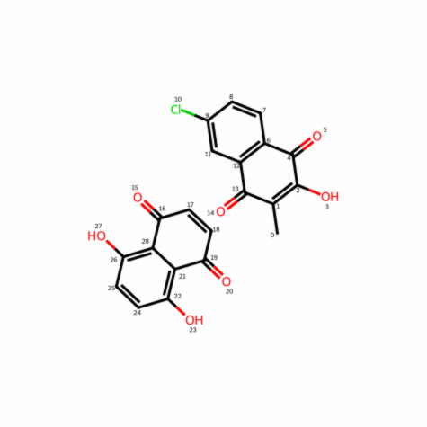 CC1=C(O)C(=O)c2ccc(Cl)cc2C1=O.O=C1C=CC(=O)c2c(O)ccc(O)c21